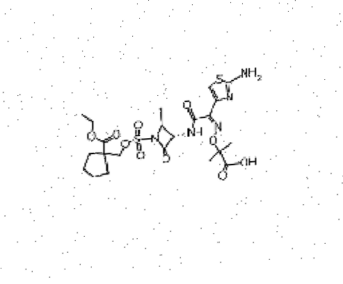 CCOC(=O)C1(COS(=O)(=O)N2C(=O)[C@@H](NC(=O)C(=NOC(C)(C)C(=O)O)c3csc(N)n3)[C@@H]2C)CCCC1